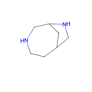 C1CC2CNC(CN1)C2